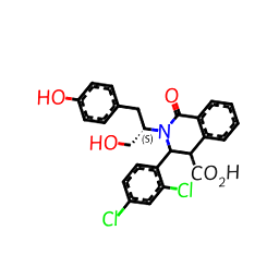 O=C(O)C1c2ccccc2C(=O)N([C@H](CO)Cc2ccc(O)cc2)C1c1ccc(Cl)cc1Cl